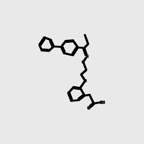 CCC(=NOCCOc1ccccc1CC(=O)O)c1ccc(-c2ccccc2)cc1